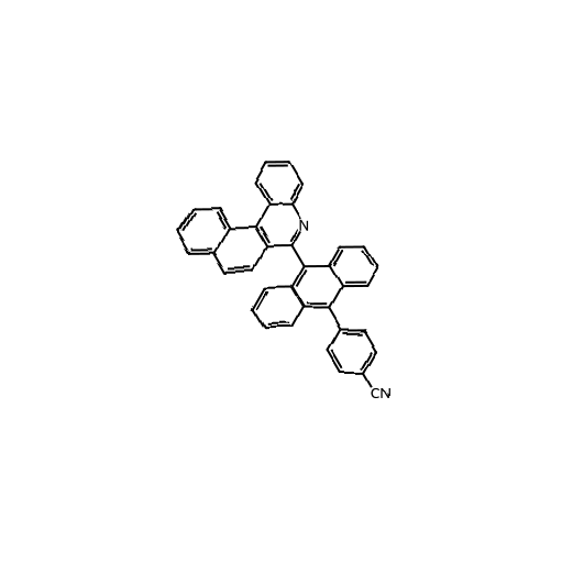 N#Cc1ccc(-c2c3ccccc3c(-c3nc4ccccc4c4c3ccc3ccccc34)c3ccccc23)cc1